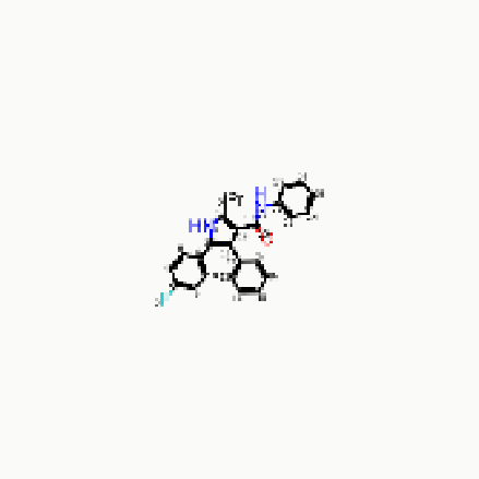 CC(C)c1[nH]c(-c2ccc(F)cc2)c(-c2ccccc2)c1C(=O)Nc1ccccc1